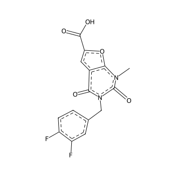 Cn1c(=O)n(Cc2ccc(F)c(F)c2)c(=O)c2cc(C(=O)O)oc21